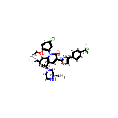 CCOc1ccc(Cl)cc1-n1c(CC(C)C)c(C(=O)N2CCN[C@H](C)C2)cc(-c2nc(-c3ccc(C(F)F)cc3)cs2)c1=O